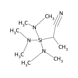 CC(C#N)[Si](N(C)C)(N(C)C)N(C)C